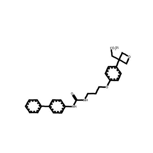 CCOC(=O)CC1(c2ccc(OCCCNC(=O)Nc3ccc(-c4ccccc4)cc3)cc2)COC1